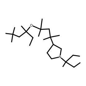 CCC(C)(CC(C)(C)C)OC(C)(C)CC(C)(C)C1CCN(C(C)(CC)CC)C1